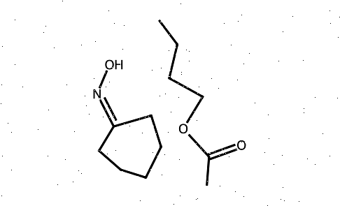 CCCCOC(C)=O.ON=C1CCCCC1